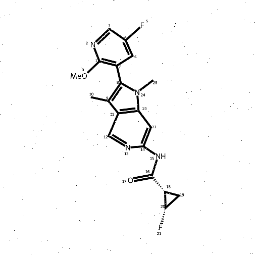 COc1ncc(F)cc1-c1c(C)c2cnc(NC(=O)[C@@H]3C[C@@H]3F)cc2n1C